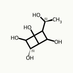 C[C@H](O)C1C(O)C2[C@H](O)C(O)C21O